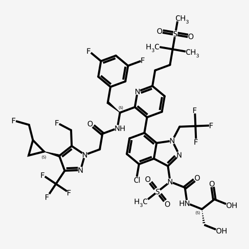 CC(C)(CCc1ccc(-c2ccc(Cl)c3c(N(C(=O)N[C@@H](CO)C(=O)O)S(C)(=O)=O)nn(CC(F)(F)F)c23)c([C@H](Cc2cc(F)cc(F)c2)NC(=O)Cn2nc(C(F)(F)F)c([C@H]3CC3CF)c2CF)n1)S(C)(=O)=O